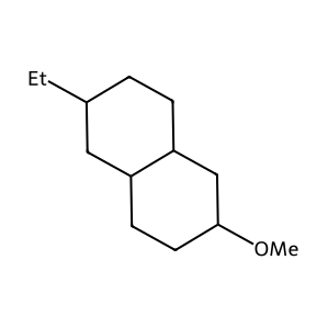 CCC1CCC2CC(OC)CCC2C1